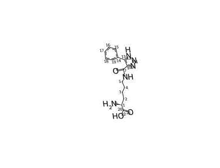 N[C@@H](CCCCNC(=O)c1nn[nH]c1-c1ccccc1)C(=O)O